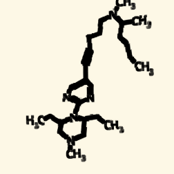 CCCCC(C)N(C)CCCC#Cc1cnc(N2C(CC)CN(C)CC2CC)nc1